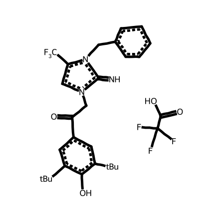 CC(C)(C)c1cc(C(=O)Cn2cc(C(F)(F)F)n(Cc3ccccc3)c2=N)cc(C(C)(C)C)c1O.O=C(O)C(F)(F)F